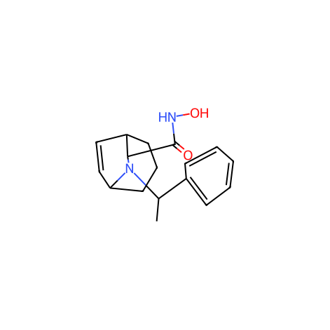 CC(c1ccccc1)N1C2C=CC(CCC2)C1C(=O)NO